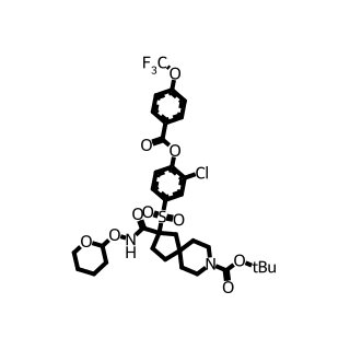 CC(C)(C)OC(=O)N1CCC2(CC1)CCC(C(=O)NOC1CCCCO1)(S(=O)(=O)c1ccc(OC(=O)c3ccc(OC(F)(F)F)cc3)c(Cl)c1)C2